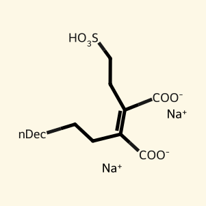 CCCCCCCCCCCCC(C(=O)[O-])=C(CCS(=O)(=O)O)C(=O)[O-].[Na+].[Na+]